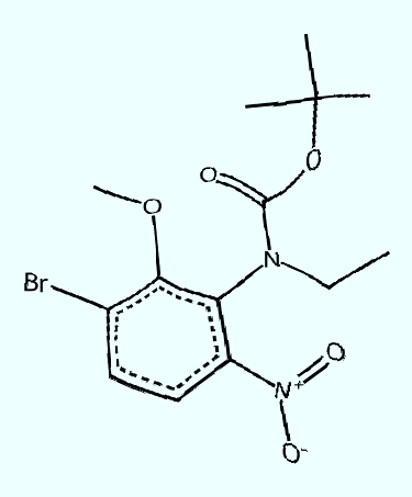 CCN(C(=O)OC(C)(C)C)c1c([N+](=O)[O-])ccc(Br)c1OC